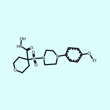 CCOc1ccc(N2CCN(S(=O)(=O)C3(C(=O)NO)CCOCC3)CC2)cc1